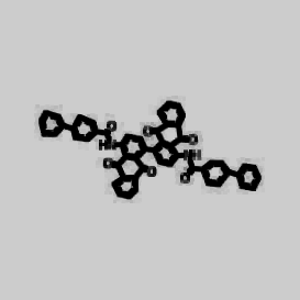 O=C(Nc1ccc(-c2ccc(NC(=O)c3ccc(-c4ccccc4)cc3)c3c2C(=O)c2ccccc2C3=O)c2c1C(=O)c1ccccc1C2=O)c1ccc(-c2ccccc2)cc1